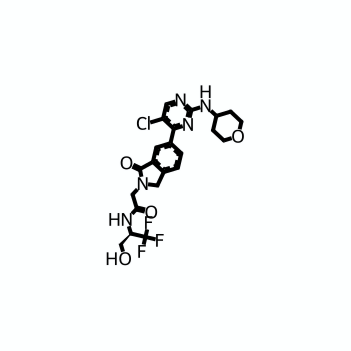 O=C(CN1Cc2ccc(-c3nc(NC4CCOCC4)ncc3Cl)cc2C1=O)N[C@H](CO)C(F)(F)F